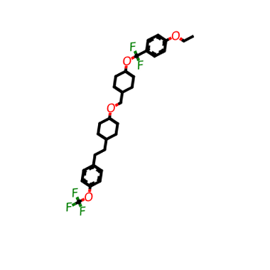 CCOc1ccc(C(F)(F)OC2CCC(COC3CCC(CCc4ccc(OC(F)(F)F)cc4)CC3)CC2)cc1